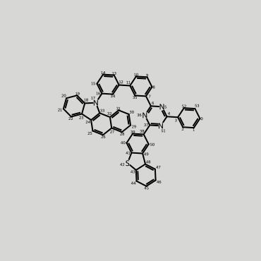 c1ccc(-c2nc(-c3cccc(-c4cccc(-n5c6ccccc6c6ccc7ccccc7c65)c4)c3)nc(-c3ccc4sc5ccccc5c4c3)n2)cc1